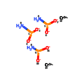 NP([O-])[O-].NP([O-])[O-].NP([O-])[O-].[Cr+3].[Cr+3]